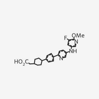 COc1ncc(Nc2ccc(-c3ccc(C4CCC(CC(=O)O)CC4)cc3)nc2)cc1F